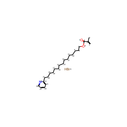 Br.C=C(C)C(=O)OCCCCCCCCCCCCCCCc1ccccn1